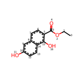 CCOC(=O)c1ccc2cc(O)ccc2c1O